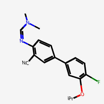 CC(C)Oc1cc(-c2ccc(/N=C\N(C)C)c(C#N)c2)ccc1F